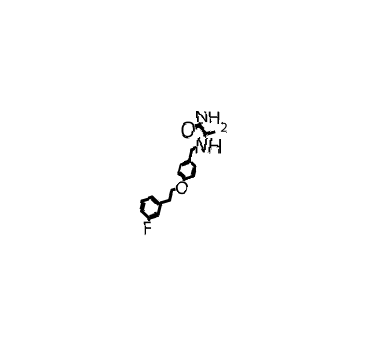 CC(NCc1ccc(OCCc2cccc(F)c2)cc1)C(N)=O